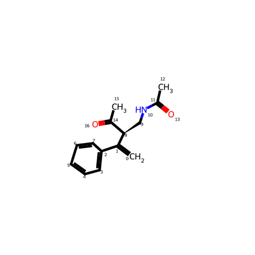 C=C(c1ccccc1)[C@H](CNC(C)=O)C(C)=O